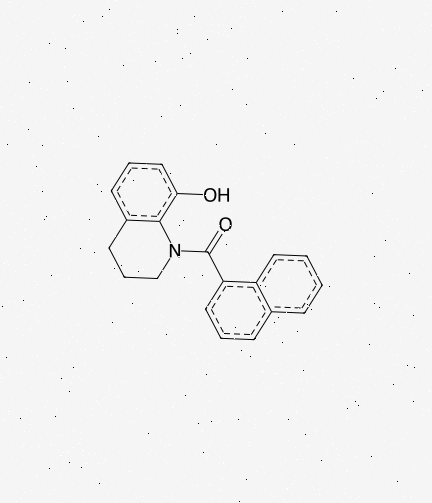 O=C(c1cccc2ccccc12)N1CCCc2cccc(O)c21